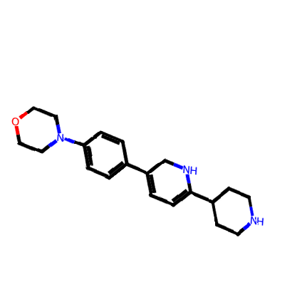 C1=C(c2ccc(N3CCOCC3)cc2)CNC(C2CCNCC2)=C1